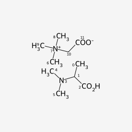 CC(C(=O)O)N(C)C.C[N+](C)(C)CC(=O)[O-]